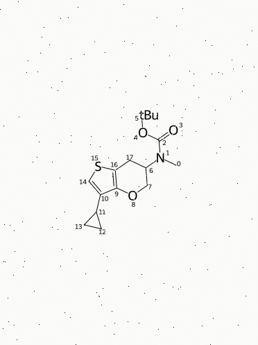 CN(C(=O)OC(C)(C)C)C1COc2c(C3CC3)csc2C1